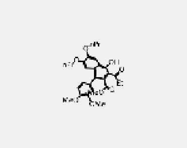 CCCOc1cc2c(O)c(C(=O)CC)c(C(=O)OC)c(-c3ccc(OC)c(OC)c3)c2cc1OCCC